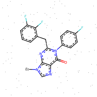 CCn1cnc2c(=O)n(-c3ccc(F)cc3)c(Cc3cccc(F)c3F)nc21